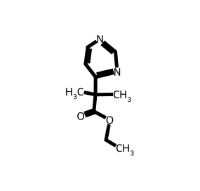 CCOC(=O)C(C)(C)c1ccncn1